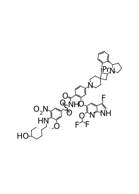 CC(C)c1ccccc1[C@H]1CCCN1C1CC2(CCN(c3ccc(C(=O)NS(=O)(=O)c4cc5c(c([N+](=O)[O-])c4)N[C@@H]([C@H]4CC[C@](C)(O)CC4)CO5)c(Oc4cc5c(F)c[nH]c5nc4OC(F)F)c3)CC2)C1